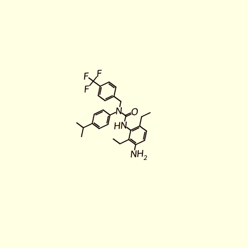 CCc1ccc(N)c(CC)c1NC(=O)N(Cc1ccc(C(F)(F)F)cc1)c1ccc(C(C)C)cc1